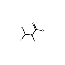 [O]C(=O)N(F)C(F)Cl